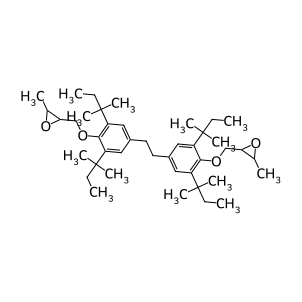 CCC(C)(C)c1cc(CCc2cc(C(C)(C)CC)c(OCC3OC3C)c(C(C)(C)CC)c2)cc(C(C)(C)CC)c1OCC1OC1C